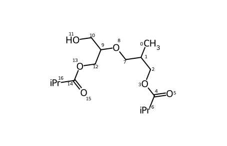 CC(COC(=O)C(C)C)COC(CO)COC(=O)C(C)C